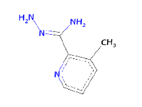 Cc1cccnc1/C(N)=N/N